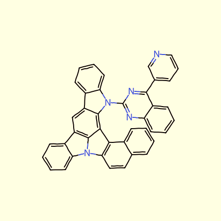 c1cncc(-c2nc(-n3c4ccccc4c4cc5c6ccccc6n6c7ccc8ccccc8c7c(c43)c56)nc3ccccc23)c1